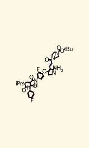 CC(C)n1cc(C(=O)Nc2ccc(Oc3ccnc(N)c3/C=C/C(=O)N3CCN(C(=O)OC(C)(C)C)CC3)c(F)c2)c(=O)n(-c2ccc(F)cc2)c1=O